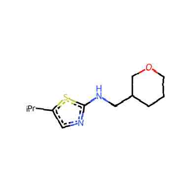 CC(C)c1cnc(NCC2CCCOC2)s1